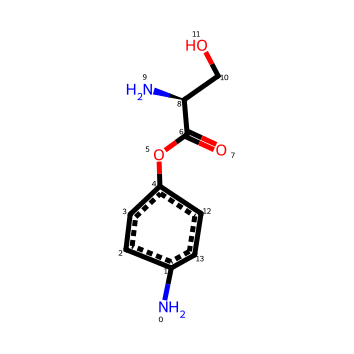 Nc1ccc(OC(=O)[C@@H](N)CO)cc1